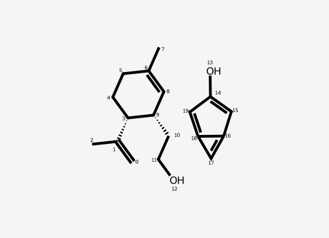 C=C(C)[C@@H]1CCC(C)=C[C@@H]1CCO.Oc1cc2cc-2c1